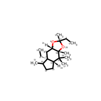 CC[C@@]1(C)O[C@H]2C[C@]3(CC)C(C)CC[C@H]3C(C)(C)[C@@]2(C)O1